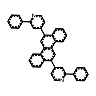 c1ccc(-c2cc(-c3cc4c5ccccc5c(-c5ccnc(-c6ccccc6)c5)cc4c4ccccc34)ccn2)cc1